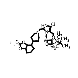 C[C@@H]1OC2CCCC(C3CCN(CC4NC(Cl)=C(CO[Si](C)(C)C(C)(C)C)N4C[C@@H]4CCO4)CC3)C2O1